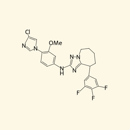 COc1cc(Nc2nc3n(n2)CCCCC3c2cc(F)c(F)c(F)c2)ccc1-n1cnc(Cl)c1